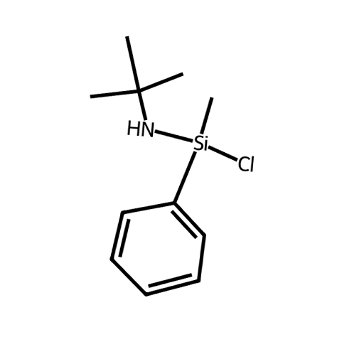 CC(C)(C)N[Si](C)(Cl)c1ccccc1